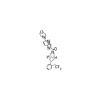 O=C(c1cn2nc(N3CCOCC3)ccc2n1)N1C[C@H]2C[C@@H](c3ccccc3CC(F)(F)F)C[C@H]2C1